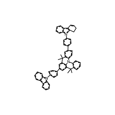 CC1(C)c2ccccc2N2c3ccc(-c4ccc(-n5c6c(c7ccccc75)C=CCC6)cc4)cc3C(C)(C)c3cc(-c4ccc(-n5c6ccccc6c6ccccc65)cc4)cc1c32